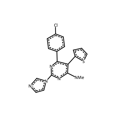 CNc1nc(-n2ccnc2)nc(-c2ccc(Cl)cc2)c1-c1cccs1